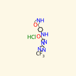 Cl.O=C(Nc1ccc(C2CNCCO2)cc1)c1cnn(-c2cnc(C(F)(F)F)nc2)c1